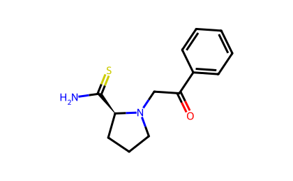 NC(=S)[C@@H]1CCCN1CC(=O)c1ccccc1